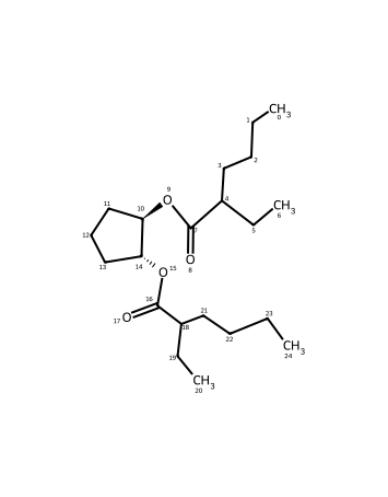 CCCCC(CC)C(=O)O[C@@H]1CCC[C@H]1OC(=O)C(CC)CCCC